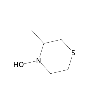 CC1CSCCN1O